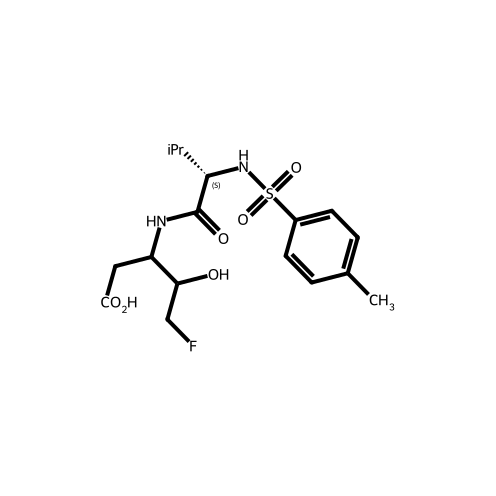 Cc1ccc(S(=O)(=O)N[C@H](C(=O)NC(CC(=O)O)C(O)CF)C(C)C)cc1